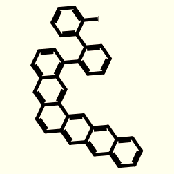 Ic1ccccc1-c1ccccc1-c1cccc2cc3ccc4cc5cc6ccccc6cc5cc4c3cc12